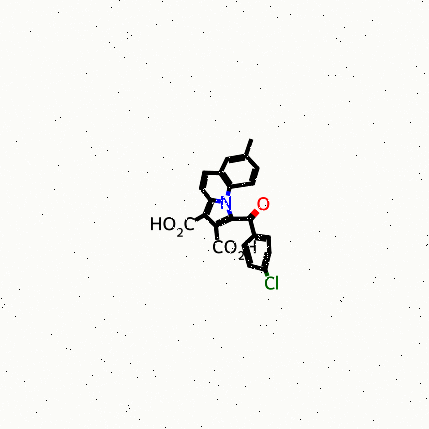 Cc1ccc2c(ccc3c(C(=O)O)c(C(=O)O)c(C(=O)c4ccc(Cl)cc4)n32)c1